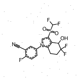 N#Cc1cc(-n2cc(S(=O)(=O)C(F)F)c3c2CCC(F)(F)C3O)ccc1F